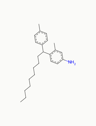 CCCCCCCCCC(c1ccc(C)cc1)c1ccc(N)cc1C